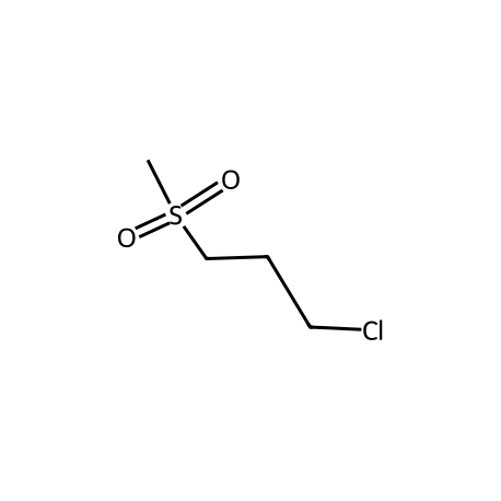 CS(=O)(=O)CCCCl